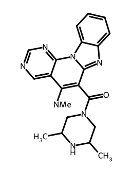 CNc1c(C(=O)N2CC(C)NC(C)C2)c2nc3ccccc3n2c2ncncc12